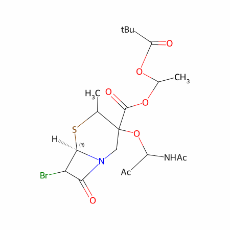 CC(=O)NC(OC1(C(=O)OC(C)OC(=O)C(C)(C)C)CN2C(=O)C(Br)[C@H]2SC1C)C(C)=O